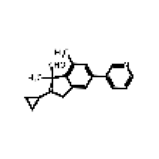 Cc1cc(-c2cccnc2)cc2c1C(C)(C=O)N(C1CC1)C2